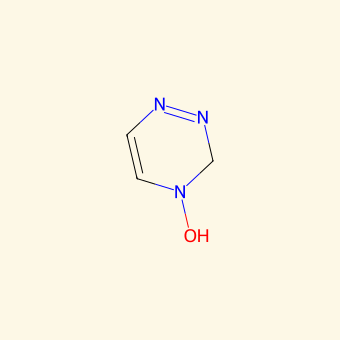 ON1C=CN=NC1